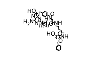 CCCCNc1nc(N)c2nc(O)n(Cc3ccc(C(=O)NCC(=O)NCCCC[C@](C)(NC(=O)OCc4ccccc4)C(=O)O)cc3)c2n1